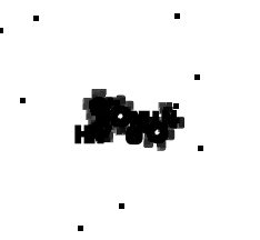 Cc1cc(NC(=O)c2cccc(N(C)C)c2)ccc1[N+]1(C2CCNC2)CCCC1C